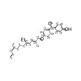 C=C/C=C(/C)CCC/C(=C/C=C(\C)COC1=CC=C(C(=O)c2ccc(O)cc2)CC1)CC